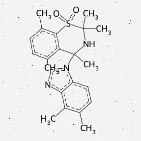 Cc1ccc(C)c2c1C(C)(n1cnc3c(C)c(C)ccc31)NC(C)(C)S2(=O)=O